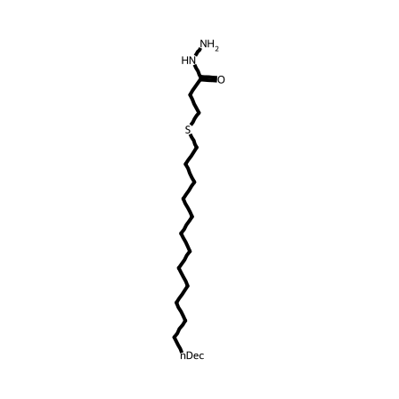 CCCCCCCCCCCCCCCCCCCCCCSCCC(=O)NN